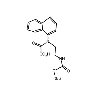 CC(C)(C)OC(=O)NCCN(C(=O)C(=O)O)c1cccc2ccccc12